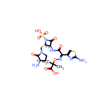 CC(C)(ON=C(C(=O)N[C@@H]1C(=O)N(S(=O)(=O)O)[C@H]1CN1CC[C@@H](N)C1=O)c1csc(N)n1)C(=O)O